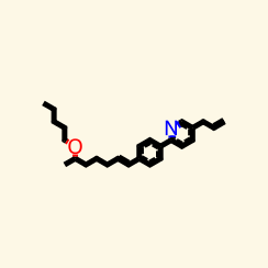 C=CCc1ccc(-c2ccc(/C=C/CCCC(C)OCCCCC)cc2)nc1